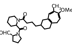 COC1=CCC2=C(C=C1C)CC(CCCC(=O)N1CCCCC1C(=O)N1CCC[C@H]1C=O)CC2